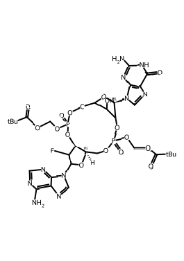 CC(C)(C)C(=O)OCOP1(=O)OC[C@H]2OC(n3cnc4c(N)ncnc43)C(F)C2OP(=O)(OCOC(=O)C(C)(C)C)OCC2O[C@@H](n3cnc4c(=O)[nH]c(N)nc43)C(O1)C2O